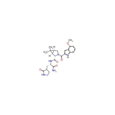 COc1cccc2[nH]c(C(=O)N3C[C@H]4[C@@H]([C@H]3C(=O)N[C@@H](CC3CCNC3=O)C(N)=O)C4(C)C)cc12